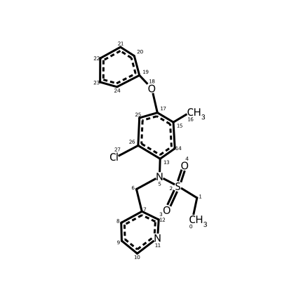 CCS(=O)(=O)N(Cc1cccnc1)c1cc(C)c(Oc2ccccc2)cc1Cl